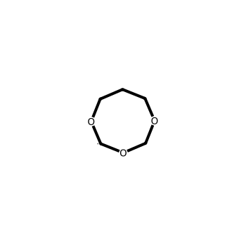 [CH]1OCCCOCO1